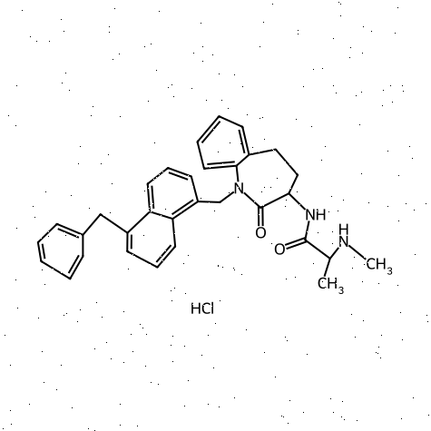 CNC(C)C(=O)NC1CCc2ccccc2N(Cc2cccc3c(Cc4ccccc4)cccc23)C1=O.Cl